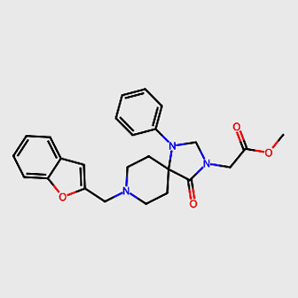 COC(=O)CN1CN(c2ccccc2)C2(CCN(Cc3cc4ccccc4o3)CC2)C1=O